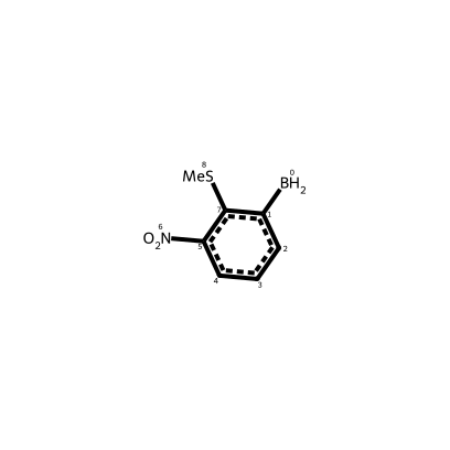 Bc1cccc([N+](=O)[O-])c1SC